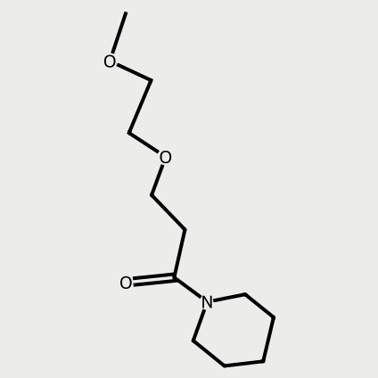 COCCOCCC(=O)N1CCCCC1